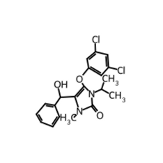 CC(C)n1c(Oc2cc(Cl)cc(Cl)c2)c(C(O)c2ccccc2)n(C)c1=O